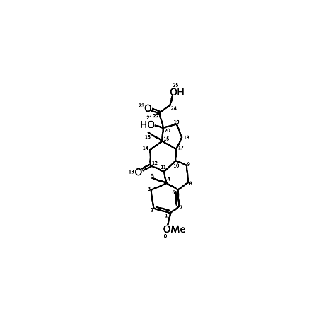 COC1=CCC2(C)C(=C1)CCC1C2C(=O)CC2(C)C1CCC2(O)C(=O)CO